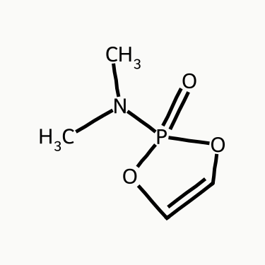 CN(C)P1(=O)OC=CO1